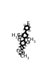 CCS(=O)(=O)N1CC2(CC(=O)C(c3c(C)cc(-c4ccc(F)cc4)cc3OC)C(=O)C2)C1